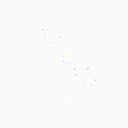 COCC1(c2c(NC(=O)Nc3ccnc(C#N)c3)cnc3cc(Cl)nn23)CC1